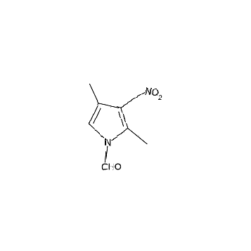 Cc1cn(C=O)c(C)c1[N+](=O)[O-]